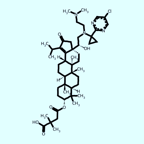 CC(C)C1=C2[C@H]3CC[C@@H]4[C@@]5(C)CC[C@@H](OC(=O)CC(C)(C)C(=O)O)C(C)(C)[C@@H]5CC[C@@]4(C)[C@]3(C)CC[C@@]2([C@@H](O)CN(CCN(C)C)C2(c3ncc(Cl)cn3)CC2)CC1=O